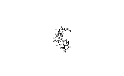 CC(C)(C)OC(=O)NC1CN(CC2Cn3c(=O)ccc4ncc(F)c2c43)CC[C@H]1O